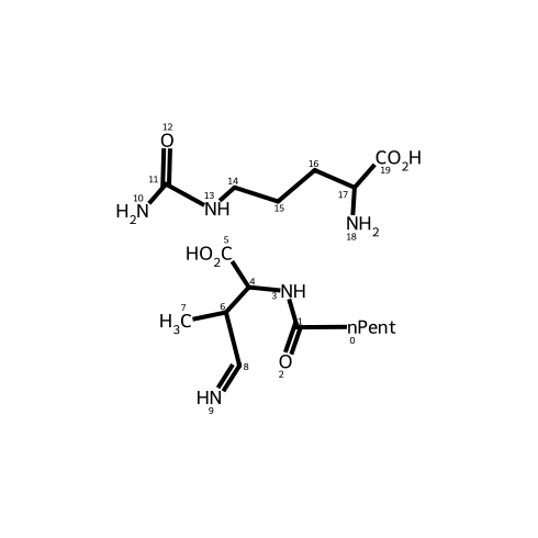 CCCCCC(=O)NC(C(=O)O)C(C)C=N.NC(=O)NCCCC(N)C(=O)O